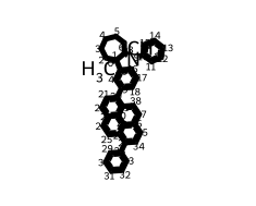 CC12CCCCCC1(C)N(c1ccccc1)c1ccc(-c3ccc4ccc5c(-c6ccccc6)ccc6ccc3c4c65)cc12